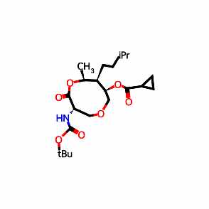 CC(C)CC[C@@H]1[C@H](C)OC(=O)[C@@H](NC(=O)OC(C)(C)C)COC[C@@H]1OC(=O)C1CC1